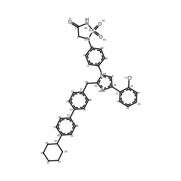 O=C1CN(c2ccc(-n3cc(-c4ccccc4Cl)nc3Cc3ccc(-c4ccc(C5CCCCC5)cc4)cc3)cc2)S(=O)(=O)N1